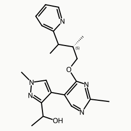 Cc1ncc(-c2cn(C)nc2C(C)O)c(OC[C@@H](C)C(C)c2ccccn2)n1